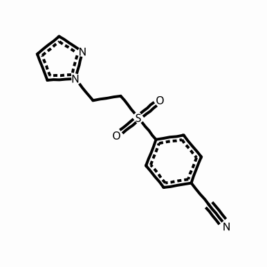 N#Cc1ccc(S(=O)(=O)CCn2cccn2)cc1